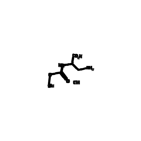 CC(C)(C)OC(=O)NC(CN)C(=O)O.Cl